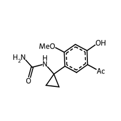 COc1cc(O)c(C(C)=O)cc1C1(NC(N)=O)CC1